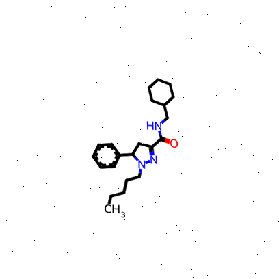 CCCCCN1N=C(C(=O)NCC2CCCCC2)CC1c1ccccc1